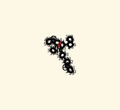 c1cc(-c2cccc3ccccc23)cc(N(c2ccc(-c3ccc4c(c3)oc3ccccc34)cc2)c2ccccc2-c2cccc3oc4ccccc4c23)c1